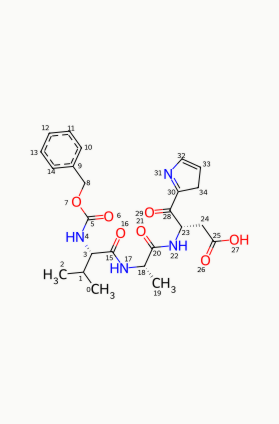 CC(C)[C@H](NC(=O)OCc1ccccc1)C(=O)N[C@@H](C)C(=O)N[C@@H](CC(=O)O)C(=O)C1=NC=CC1